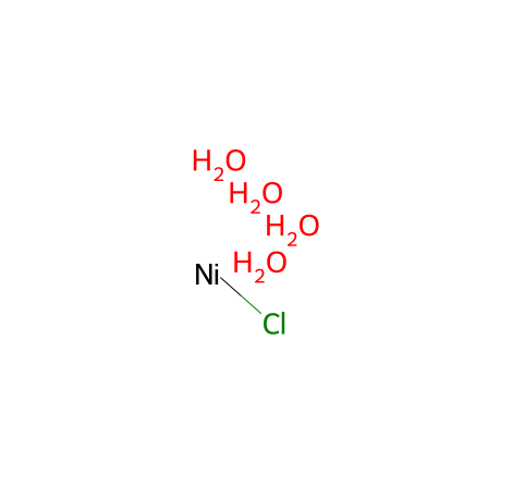 O.O.O.O.[Cl][Ni]